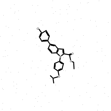 CCOC(=O)c1cc2cc(-c3ccc(Cl)cc3)ccc2n1-c1ccc(OC(C)C)cc1